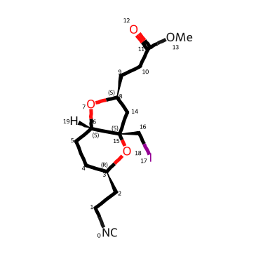 [C-]#[N+]CC[C@H]1CC[C@@H]2O[C@@H](CCC(=O)OC)C[C@]2(CI)O1